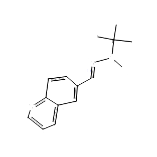 CC(C)(C)[S+]([O-])/N=C/c1ccc2ncccc2c1